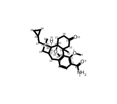 COc1c(C(N)=O)ccc2c1C1(C)CC(=O)CC[C@@]1(OC)[C@H]1C(C2)C[N+]1(C)CC1CC1